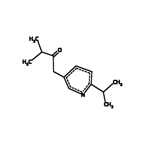 CC(C)C(=O)Cc1ccc(C(C)C)nc1